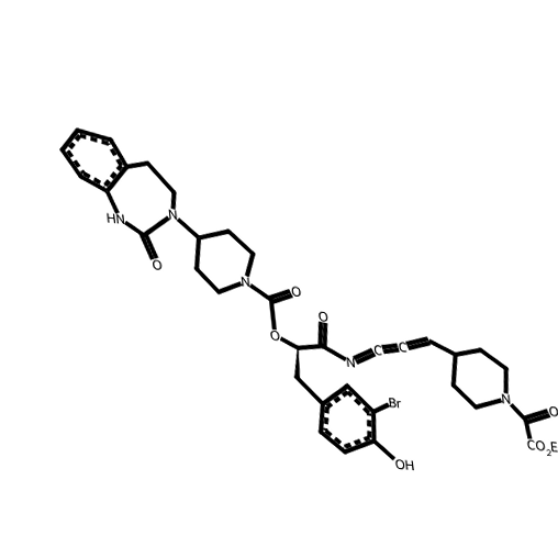 CCOC(=O)C(=O)N1CCC(C=C=C=NC(=O)[C@@H](Cc2ccc(O)c(Br)c2)OC(=O)N2CCC(N3CCc4ccccc4NC3=O)CC2)CC1